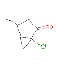 CC1CC(=O)C2(Cl)CC12